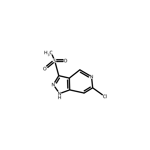 CS(=O)(=O)c1n[nH]c2cc(Cl)ncc12